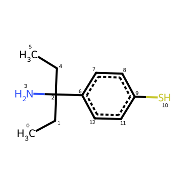 CCC(N)(CC)c1ccc(S)cc1